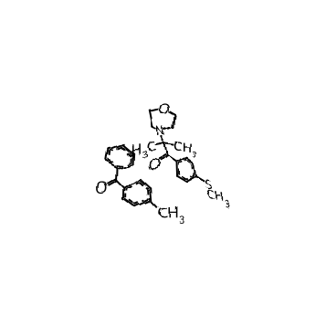 CSc1ccc(C(=O)C(C)(C)N2CCOCC2)cc1.Cc1ccc(C(=O)c2ccccc2)cc1